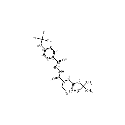 CC(C)(C)OC(=O)NC(CO)C(=O)NNC(=O)c1ccc(OC(F)(F)F)cc1